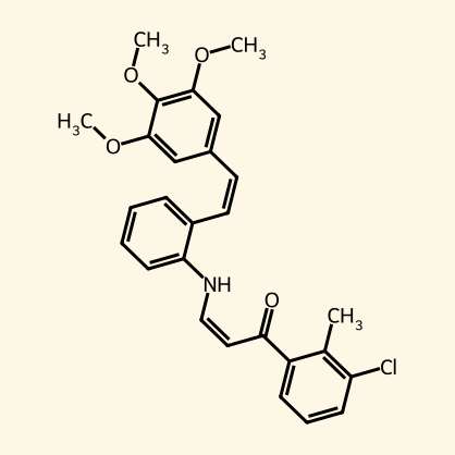 COc1cc(/C=C\c2ccccc2N/C=C\C(=O)c2cccc(Cl)c2C)cc(OC)c1OC